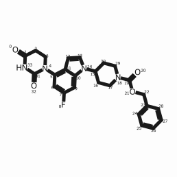 O=C1CCN(c2cc(F)cc3c2ccn3C2CCN(C(=O)OCc3ccccc3)CC2)C(=O)N1